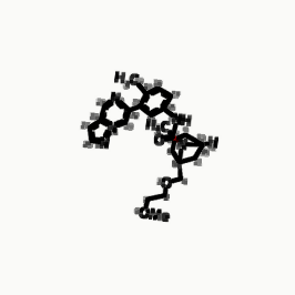 COCCOC[C@]12C[C@@H](C)C[C@H](C1)N2C(=O)Nc1ccc(C)c(-c2cn3nccc3cn2)c1